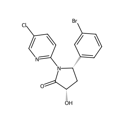 O=C1[C@@H](O)C[C@@H](c2cccc(Br)c2)N1c1ccc(Cl)cn1